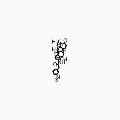 CN1C(=O)C=C[C@]2(C)[C@H]3CC[C@]4(C)[C@@H](NC(=O)Cc5cccc(N=O)c5)CC[C@H]4[C@@H]3CC[C@@H]12